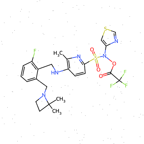 Cc1nc(S(=O)(=O)N(OC(=O)C(F)(F)F)c2cscn2)ccc1NCc1c(F)cccc1CN1CCC1(C)C